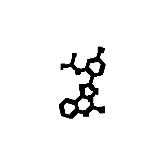 FC(F)Oc1cc(Br)ccc1-c1nc2c3ccccc3nc(Cl)n2n1